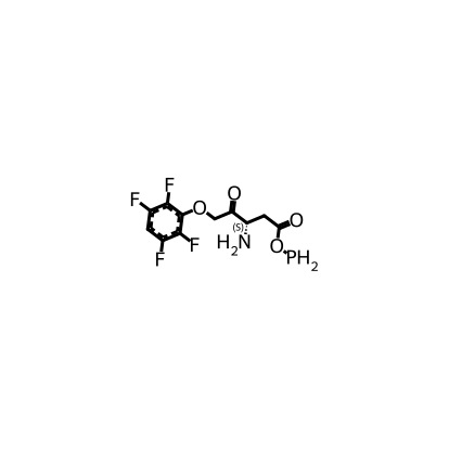 N[C@@H](CC(=O)OP)C(=O)COc1c(F)c(F)cc(F)c1F